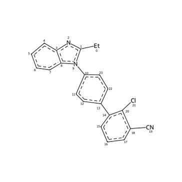 CCc1nc2ccccc2n1-c1ccc(-c2cccc(C#N)c2Cl)cc1